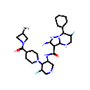 CNC1CN(C(=O)C2CCN(C3C(F)CNCC3NC(=O)C3C(N)NN4C3NCC(F)C4C3CCCCC3)CC2)C1